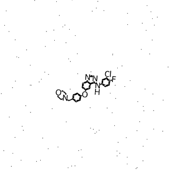 Fc1ccc(Nc2ncnc3ccc(Oc4ccc(CN5CCOCC5)cc4)cc23)cc1Cl